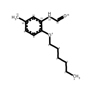 CCCCCCOc1ccc(C)cc1NC=O